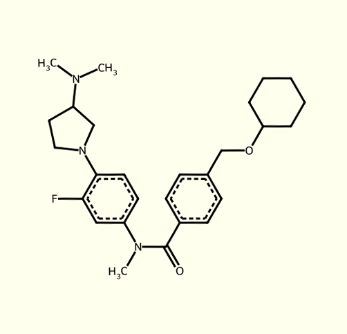 CN(C(=O)c1ccc(COC2CCCCC2)cc1)c1ccc(N2CCC(N(C)C)C2)c(F)c1